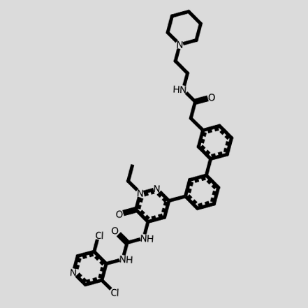 CCn1nc(-c2cccc(-c3cccc(CC(=O)NCCN4CCCCC4)c3)c2)cc(NC(=O)Nc2c(Cl)cncc2Cl)c1=O